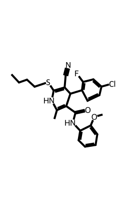 CCCCSC1=C(C#N)C(c2ccc(Cl)cc2F)C(C(=O)Nc2ccccc2OC)=C(C)N1